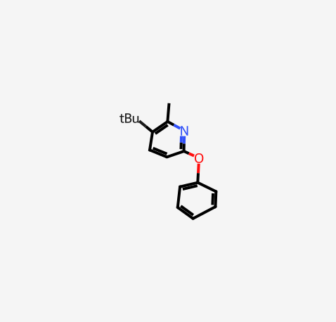 Cc1nc(Oc2ccccc2)ccc1C(C)(C)C